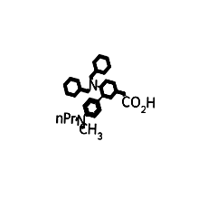 CCCN(C)c1ccc([C@@H]2CC(CC(=O)O)CC[C@H]2N(CC2CCCCC2)CC2CCCCC2)cc1